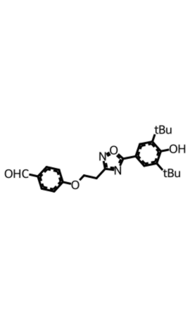 CC(C)(C)c1cc(-c2nc(CCOc3ccc(C=O)cc3)no2)cc(C(C)(C)C)c1O